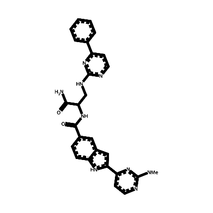 CNc1nccc(-c2cc3cc(C(=O)NC(CNc4nccc(-c5ccccc5)n4)C(N)=O)ccc3[nH]2)n1